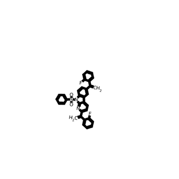 C=C(c1ccc2c(c1)c1ccc(C(=C)c3ccccc3F)nc1n2S(=O)(=O)c1ccccc1)c1ccccc1F